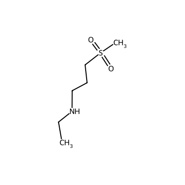 CCNCCCS(C)(=O)=O